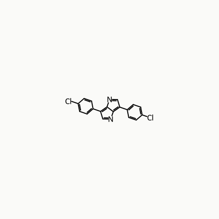 Clc1ccc(C2=C3N=CC(c4ccc(Cl)cc4)=C3N=C2)cc1